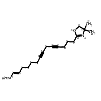 CCCCCC=CCCCCC#CCC#CCCCC1=NC(C)(C)CO1